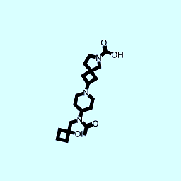 CC(=O)N(CC1(O)CCC1)C1CCN(C2CC3(CCN(C(=O)O)C3)C2)CC1